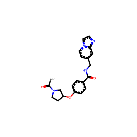 CCCC(=O)N1CC[C@H](Oc2ccc(C(=O)NCc3ccn4ccnc4c3)cc2)C1